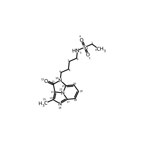 CCS(=O)(=O)NCCCCn1c(=O)c2c(C)nc3cccc1n32